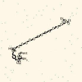 CCC[C@H](C)Oc1nc(N)c2[nH]c(=O)n(CC3CCN(CCOP(=O)(O)OCCOCCOCCOCCOCCOCCOCCOCCOCCOCCOCCOCCOC[C@@H](COC(=O)CC)OC(=O)CC)CC3)c2n1